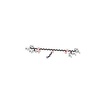 CC(C)CCC(CCOC(=O)CCCCCCCCCC(CCCCCCCCCC(=O)OCCC(CCC(C)C)C(C)C)OCCCCC#N)C(C)C